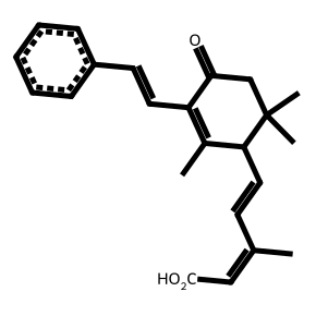 CC1=C(/C=C/c2ccccc2)C(=O)CC(C)(C)C1/C=C/C(C)=C\C(=O)O